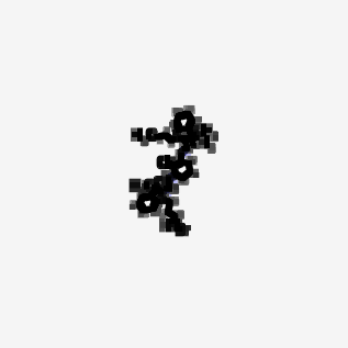 CCCC[N+]1=C(/C=C/C2=C(Cl)C(=C/C=C3/N(CCCNBr)c4ccccc4C3(C)C)/CCC2)C(C)(C)c2ccccc21